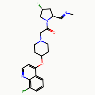 CN=C[C@@H]1C[C@H](F)CN1C(=O)CN1CCC(Oc2ccnc3c(F)cccc23)CC1